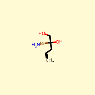 C=CCC(O)(Br)CO.N